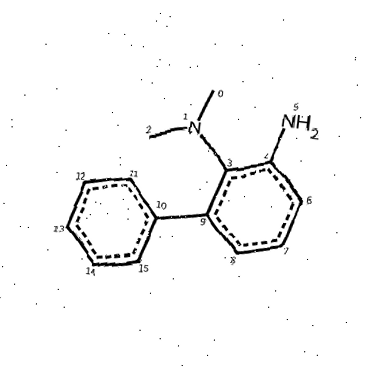 CN(C)c1c(N)cccc1-c1ccccc1